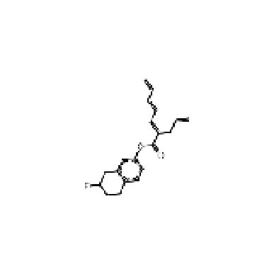 C=CC=CC=C(CC=C)C(=O)Oc1ccc2c(c1)CC(F)CC2